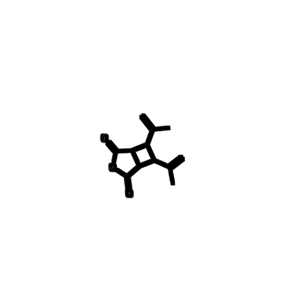 C=C(C)C1C(C(=C)C)C2C(=O)OC(=O)C12